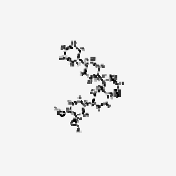 COc1ccc(-c2ccc3ncnc(-c4ccc(-c5ccccc5)cc4)c3c2)cc1OC